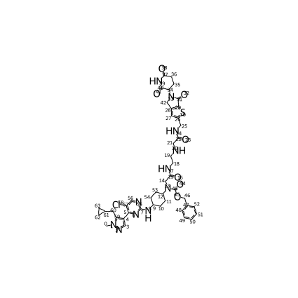 Cn1ncc(-c2nc(NC3CCC(N(CC(=O)NCCNCC(=O)NCc4cc5c(s4)C(=O)N(C4CCC(=O)NC4=O)C5)C(=O)OCc4ccccc4)CC3)ncc2Cl)c1CC1CC1